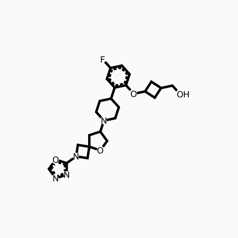 OCC1CC(Oc2ccc(F)cc2C2CCN(C3COC4(C3)CN(c3nnco3)C4)CC2)C1